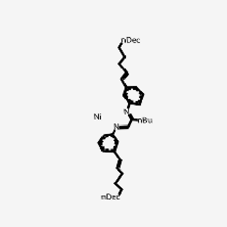 CCCCCCCCCCCCCC=Cc1cccc(N=CC(CCCC)=Nc2cccc(C=CCCCCCCCCCCCCC)c2)c1.[Ni]